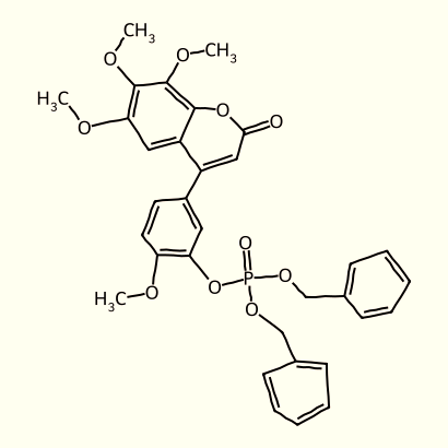 COc1ccc(-c2cc(=O)oc3c(OC)c(OC)c(OC)cc23)cc1OP(=O)(OCc1ccccc1)OCc1ccccc1